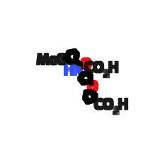 COc1cccc(C(=O)Nc2ccc(Oc3cccc(C(=O)O)c3)cc2C(=O)O)c1